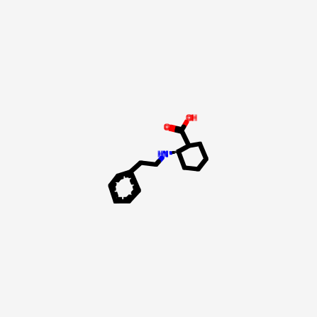 O=C(O)C1CCCC[C@@H]1NCCc1ccccc1